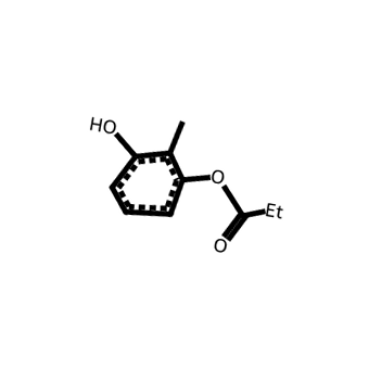 CCC(=O)Oc1cccc(O)c1C